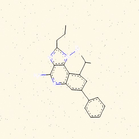 CCCc1nc2c(N)nc3cc(-c4ccccc4)cc(C(C)C)c3c2n1N